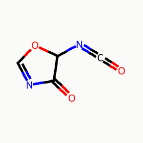 O=C=NC1OC=NC1=O